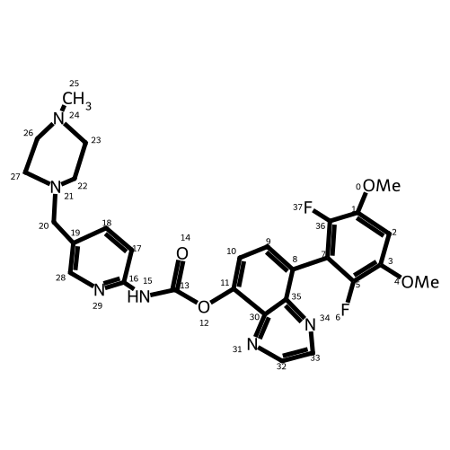 COc1cc(OC)c(F)c(-c2ccc(OC(=O)Nc3ccc(CN4CCN(C)CC4)cn3)c3nccnc23)c1F